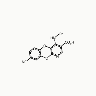 CC(C)Nc1c(C(=O)O)cnc2c1Oc1ccc(C#N)cc1O2